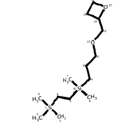 C[Si](C)(C)CC[Si](C)(C)CCCOCC1CCO1